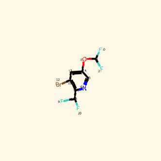 FC(F)Oc1cnc(C(F)F)c(Br)c1